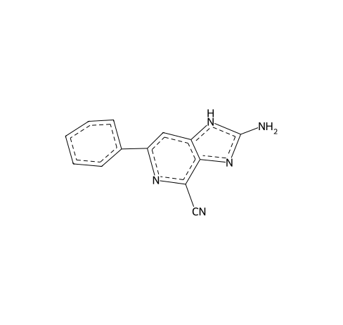 N#Cc1nc(-c2ccccc2)cc2[nH]c(N)nc12